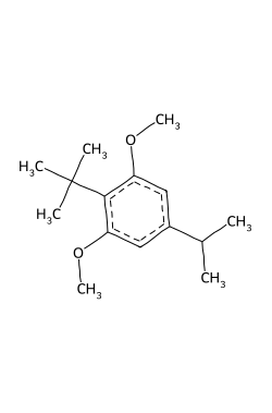 COc1cc(C(C)C)cc(OC)c1C(C)(C)C